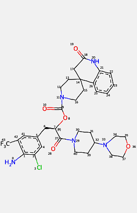 Nc1c(Cl)cc(C[C@@H](OC(=O)N2CCC3(CC2)CC(=O)Nc2ccccc23)C(=O)N2CCC(N3CCOCC3)CC2)cc1C(F)(F)F